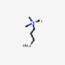 CC(C)(C)[N+](C)(C)CCCS(=O)(=O)O